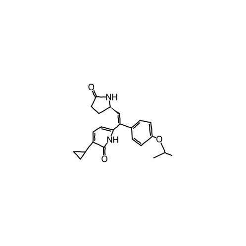 CC(C)Oc1ccc(C(=C[C@H]2CCC(=O)N2)c2ccc(C3CC3)c(=O)[nH]2)cc1